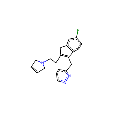 Fc1ccc2c(c1)CC(CCN1CC=CC1)=C2Cc1cccnn1